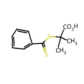 CC(C)(SC(=S)c1ccccc1)C(=O)O